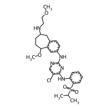 COCCNC1CCC(OC)c2cc(Nc3ncc(Cl)c(Nc4ccccc4S(=O)(=O)C(C)C)n3)ccc2C1